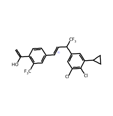 C=C(O)c1ccc(/C=C/C(c2cc(Cl)c(Cl)c(C3CC3)c2)C(F)(F)F)cc1C(F)(F)F